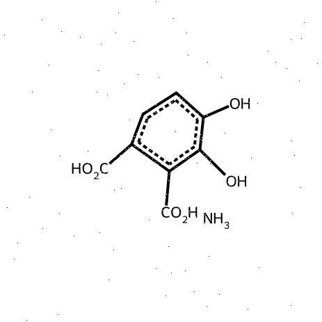 N.O=C(O)c1ccc(O)c(O)c1C(=O)O